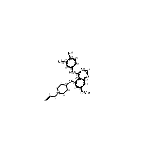 C=CCN1CCC(Oc2cc(OC)cc3ncnc(Nc4ccc(F)c(Cl)c4)c23)CC1